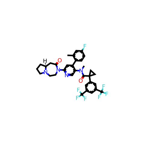 Cc1cc(F)ccc1-c1cc(N2CCN3CCC[C@H]3CC2=O)ncc1N(C)C(=O)C1(c2cc(C(F)(F)F)cc(C(F)(F)F)c2)CC1